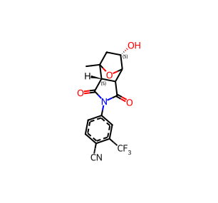 CC12C[C@H](O)C(O1)C1C(=O)N(c3ccc(C#N)c(C(F)(F)F)c3)C(=O)[C@@H]12